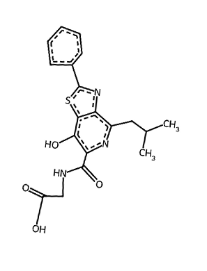 CC(C)Cc1nc(C(=O)NCC(=O)O)c(O)c2sc(-c3ccccc3)nc12